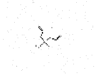 C=CC[N+](C)(N)CC=C.[Cl-]